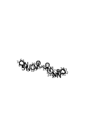 CN(c1nc2ccccc2s1)C1CCN(C(=O)CCCC(=O)N2CCC(N(C)c3nc4ccccc4s3)CC2)CC1